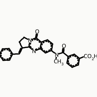 CN(C(=O)c1cccc(C(=O)O)c1)c1ccc2c(=O)n3c(nc2c1)C(=Cc1ccccc1)CC3